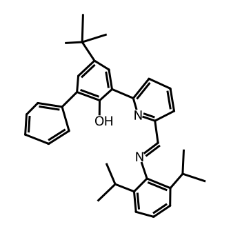 CC(C)c1cccc(C(C)C)c1/N=C/c1cccc(-c2cc(C(C)(C)C)cc(-c3ccccc3)c2O)n1